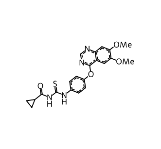 COc1cc2ncnc(Oc3ccc(NC(=S)NC(=O)C4CC4)cc3)c2cc1OC